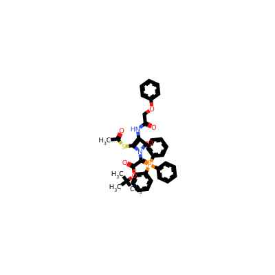 CC(=O)SC1=C(NC(=O)COc2ccccc2)C(=O)N1C(C(=O)OC(C)(C)C)=P(c1ccccc1)(c1ccccc1)c1ccccc1